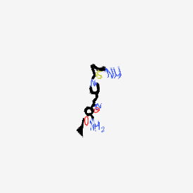 N=Cc1ccc(CN2CCC(CCc3noc4c(CN)c(OCC5CC5)ccc34)CC2)s1